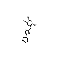 Brc1cc(Br)c(Cc2nc(-c3ccccc3)c[nH]2)cc1Br